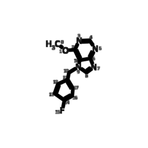 COc1ncnc2ncn(Cc3ccc(F)cc3)c12